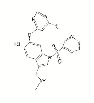 CNCc1cn(S(=O)(=O)c2cccnc2)c2cc(Oc3cc(Cl)ncn3)ccc12.Cl